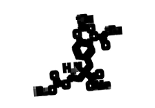 COC(=O)[C@@](N)(CCOC(=O)OCC(C)C)Cc1ccc(OC(=O)C(C)(C)C)c(OC(=O)C(C)(C)C)c1